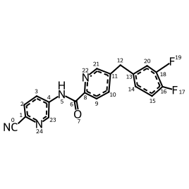 N#Cc1ccc(NC(=O)c2ccc(Cc3ccc(F)c(F)c3)cn2)cn1